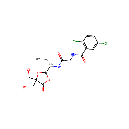 CC(C)C[C@H](NC(=O)CNC(=O)c1cc(Cl)ccc1Cl)B1OC(=O)C(CO)(CO)O1